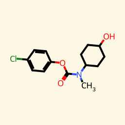 CN(C(=O)Oc1ccc(Cl)cc1)C1CCC(O)CC1